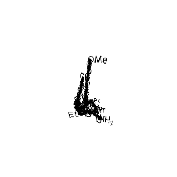 CCCOCCC(=O)N[C@H](C(=O)N[C@@H](CCCNC(N)=O)C(=O)Nc1ccc(CC)c(CN(Cc2cn(CCOCCOCCOCCOCCO)nn2)C(=O)OCc2cn(CCOCCOCCOCCOCCOCCOCCOCCOC)nn2)c1)C(C)C